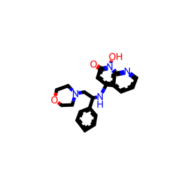 O=c1cc(NC(CN2CCOCC2)c2ccccc2)c2cccnc2n1O